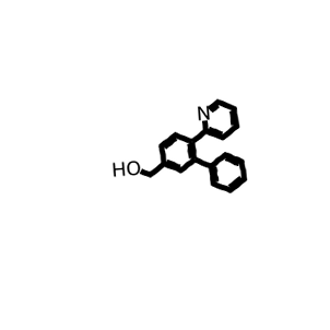 OCc1ccc(-c2ccccn2)c(-c2ccccc2)c1